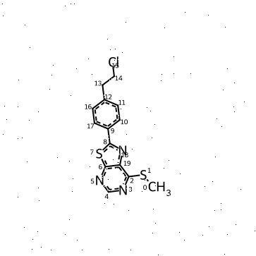 CSc1ncnc2sc(-c3ccc(CCCl)cc3)nc12